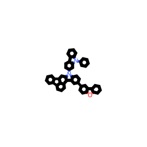 c1ccc(-n2c3ccccc3c3ccc(-n4c5ccc(-c6ccc7oc8ccccc8c7c6)cc5c5c6cccc7c6c(cc54)-c4ccccc4-7)cc32)cc1